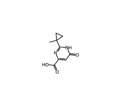 CC1(c2nc(C(=O)O)cc(=O)[nH]2)CC1